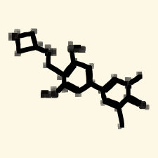 COc1cc(-c2cc(C)c(=O)n(C)c2)cc(OC)c1CNC1CNC1